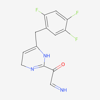 N=CC(=O)C1=NCC=C(Cc2cc(F)c(F)cc2F)N1